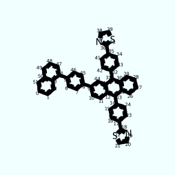 c1ccc2c(-c3ccc(-c4ccc5c(-c6ccc(-c7nccs7)cc6)c6ccccc6c(-c6ccc(-c7nccs7)cc6)c5c4)cc3)cccc2c1